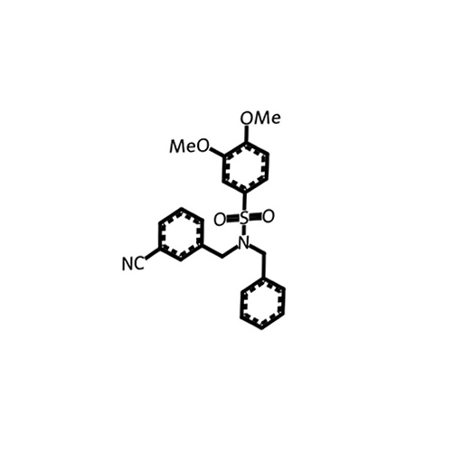 COc1ccc(S(=O)(=O)N(Cc2ccccc2)Cc2cccc(C#N)c2)cc1OC